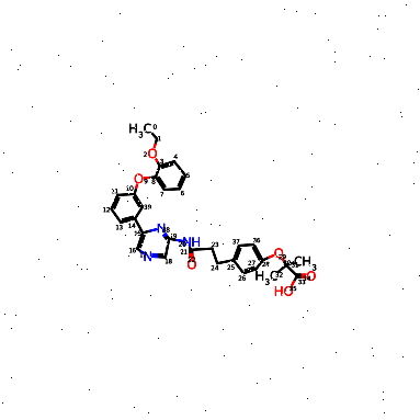 CCOc1ccccc1Oc1cccc(-c2cncc(NC(=O)CCc3ccc(OC(C)(C)C(=O)O)cc3)n2)c1